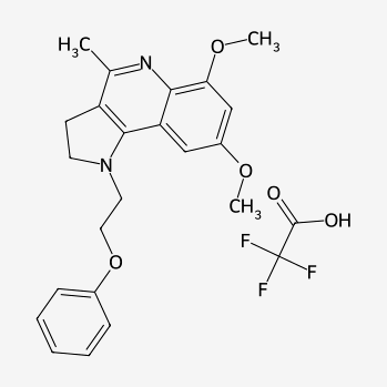 COc1cc(OC)c2nc(C)c3c(c2c1)N(CCOc1ccccc1)CC3.O=C(O)C(F)(F)F